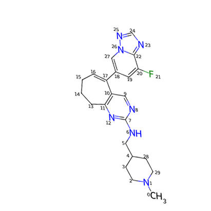 CN1CCC(CNc2ncc3c(n2)CCCC=C3c2cc(F)c3ncnn3c2)CC1